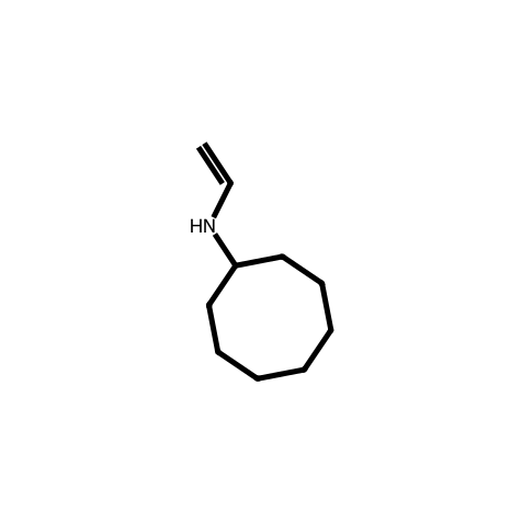 C=CNC1CCCCCCC1